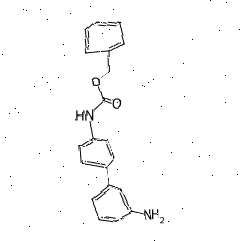 Nc1cccc(-c2ccc(NC(=O)OCc3ccccc3)cc2)c1